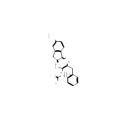 CC(=O)Nc1nc2c(nc1Cc1ccccc1)-c1ccc(O)cc1C2